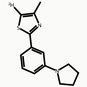 [2H]c1sc(-c2cccc(N3CCCC3)c2)nc1C